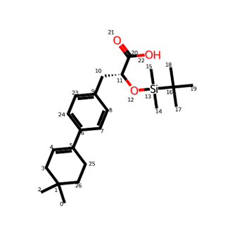 CC1(C)CC=C(c2ccc(C[C@@H](O[Si](C)(C)C(C)(C)C)C(=O)O)cc2)CC1